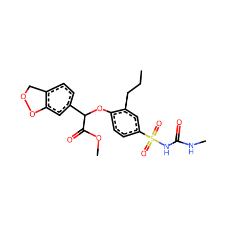 CCCc1cc(S(=O)(=O)NC(=O)NC)ccc1OC(C(=O)OC)c1ccc2c(c1)OOC2